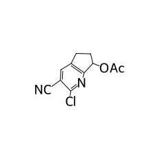 CC(=O)OC1CCc2cc(C#N)c(Cl)nc21